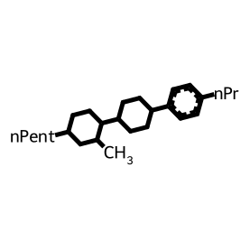 CCCCCC1CCC(C2CCC(c3ccc(CCC)cc3)CC2)C(C)C1